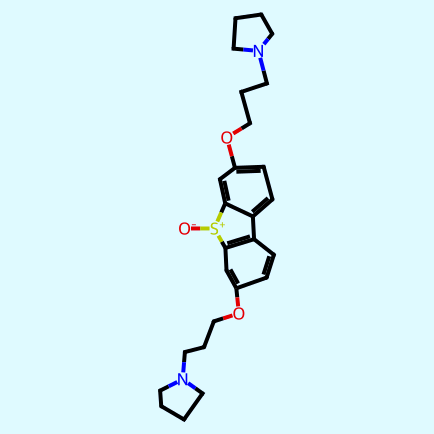 [O-][s+]1c2cc(OCCCN3CCCC3)ccc2c2ccc(OCCCN3CCCC3)cc21